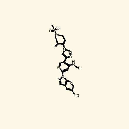 CC(C)Nc1cc(-n2ncc3cc(C#N)cnc32)ncc1-c1cn(C2CCN(S(C)(=O)=O)CC2F)nn1